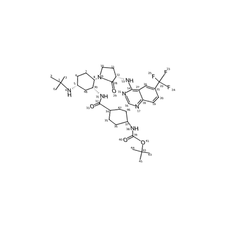 CC(C)(C)N[C@@H]1CC[C@H](N2CC[C@H](Nc3ncnc4ccc(C(F)(F)F)cc34)C2=O)[C@H](NC(=O)C2CCC(NC(=O)OC(C)(C)C)CC2)C1